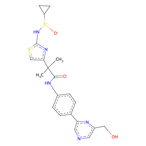 CC(C)(C(=O)Nc1ccc(-c2cncc(CO)n2)cc1)c1csc(N[S+]([O-])C2CC2)n1